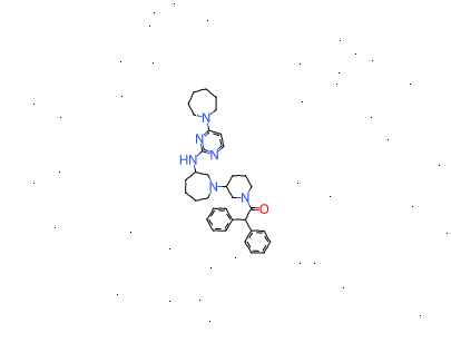 O=C(C(c1ccccc1)c1ccccc1)N1CCCC(N2CCCCC(Nc3nccc(N4CCCCCC4)n3)C2)C1